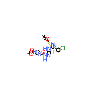 CC(C)(C)OC(=O)N1CCCN(CC(=O)Nc2cc(Nc3cc(-c4cc(Cl)ccc4F)nnc3SCCO[Si](C)(C)C(C)(C)C)ccn2)CC1